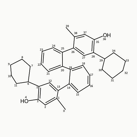 Cc1cc(O)c(C2CCCCC2)cc1-c1ccccc1-c1ccccc1-c1cc(C2CCCCC2)c(O)cc1C